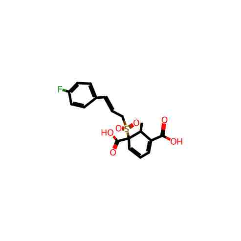 CC1C(C(=O)O)=CC=CC1(C(=O)O)S(=O)(=O)CC=Cc1ccc(F)cc1